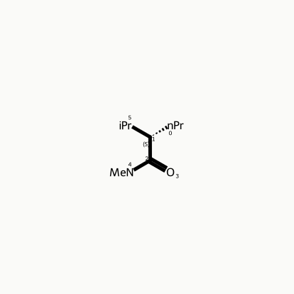 CCC[C@H](C(=O)NC)C(C)C